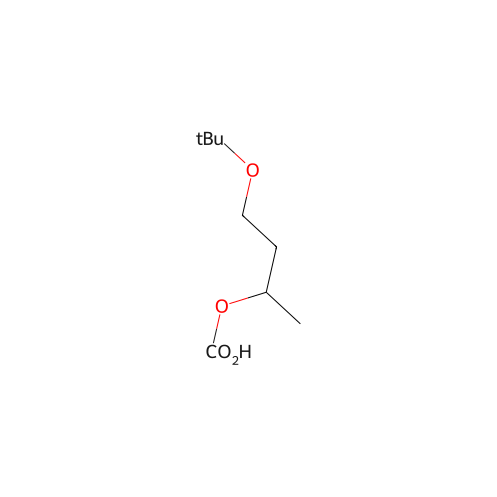 CC(CCOC(C)(C)C)OC(=O)O